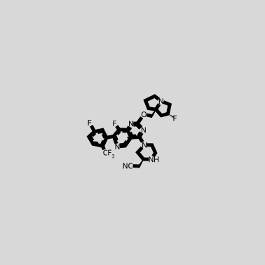 N#CC[C@H]1CN(c2nc(OC[C@@]34CCCN3C[C@H](F)C4)nc3c(F)c(-c4cc(F)ccc4C(F)(F)F)ncc23)CCN1